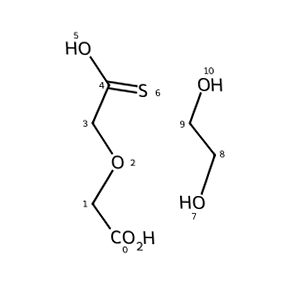 O=C(O)COCC(O)=S.OCCO